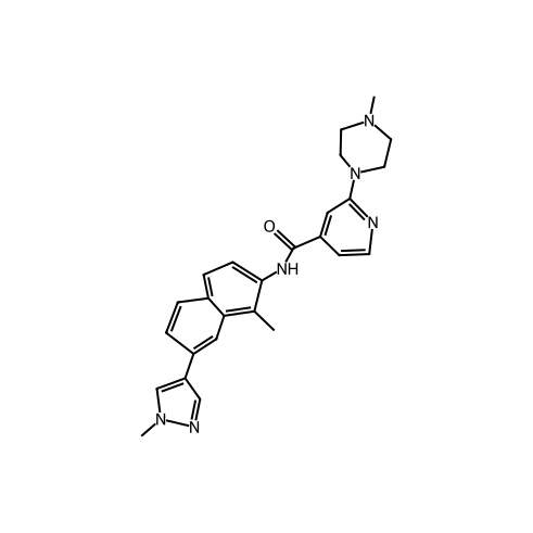 Cc1c(NC(=O)c2ccnc(N3CCN(C)CC3)c2)ccc2ccc(-c3cnn(C)c3)cc12